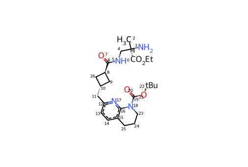 CCOC(=O)[C@](C)(N)CNC(=O)[C@H]1C[C@H](Cc2ccc3c(n2)N(C(=O)OC(C)(C)C)CCC3)C1